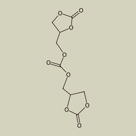 O=C(OCC1COC(=O)O1)OCC1COC(=O)O1